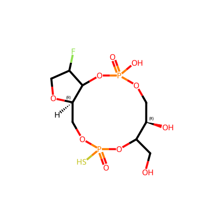 O=P1(O)OC[C@@H](O)C(CO)OP(=O)(S)OC[C@H]2OCC(F)C2O1